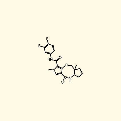 Cn1cc2c(c1C(=O)Nc1ccc(F)c(F)c1)OCC1(C)CCCC1N[S+]2[O-]